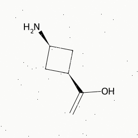 C=C(O)[C@H]1C[C@@H](N)C1